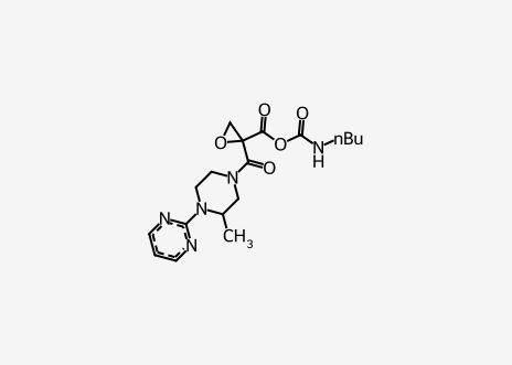 CCCCNC(=O)OC(=O)C1(C(=O)N2CCN(c3ncccn3)C(C)C2)CO1